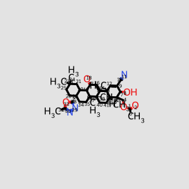 CC(=O)OC[C@]1(C)C(O)C(C#N)=C[C@]2(C)C3=CC(=O)C4C5CC(C)(C)CC[C@]5(c5nnc(C)o5)CC[C@@]4(C)[C@]3(C)CC[C@H]21